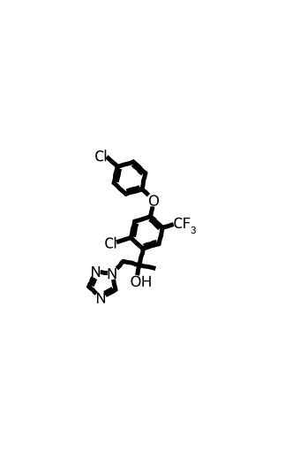 CC(O)(Cn1cncn1)c1cc(C(F)(F)F)c(Oc2ccc(Cl)cc2)cc1Cl